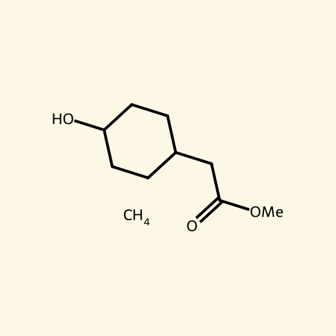 C.COC(=O)CC1CCC(O)CC1